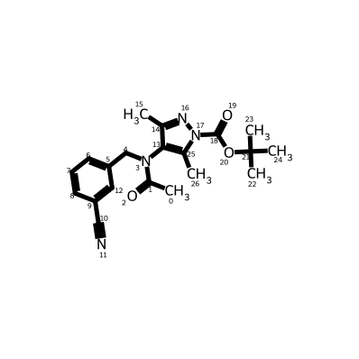 CC(=O)N(Cc1cccc(C#N)c1)c1c(C)nn(C(=O)OC(C)(C)C)c1C